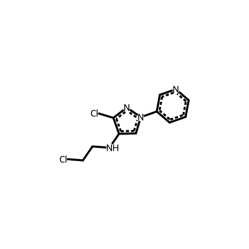 ClCCNc1cn(-c2cccnc2)nc1Cl